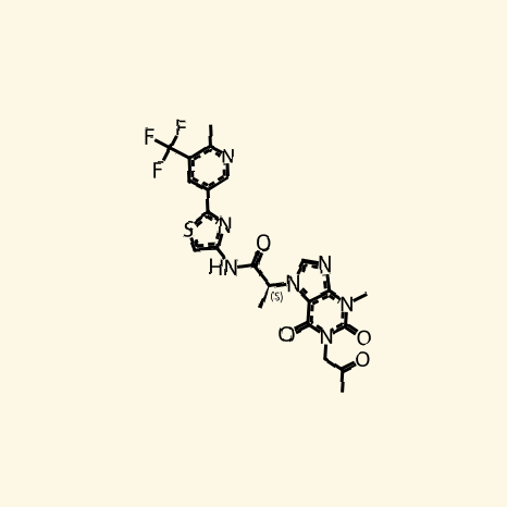 CC(=O)Cn1c(=O)c2c(ncn2[C@@H](C)C(=O)Nc2csc(-c3cnc(C)c(C(F)(F)F)c3)n2)n(C)c1=O